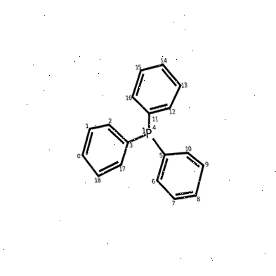 c1ccc([1P](c2ccccc2)c2ccccc2)cc1